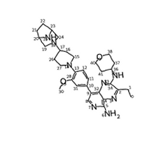 CCc1nc2c(N)ncc(-c3ccc(N4CCC(N5CC6CCC(C5)N6)CC4)c(OC)c3)c2nc1NC1CCOCC1